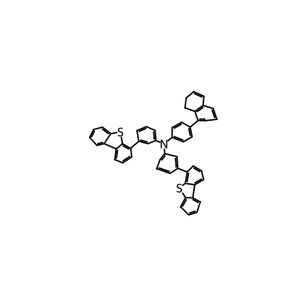 C1=Cc2cccc(-c3ccc(N(c4cccc(-c5cccc6c5sc5ccccc56)c4)c4cccc(-c5cccc6c5sc5ccccc56)c4)cc3)c2CC1